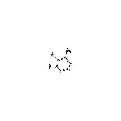 Nc1ccccc1O.[Zr]